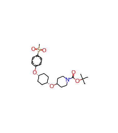 CC(C)(C)OC(=O)N1CCC(O[C@H]2CC[C@@H](Oc3ccc(S(C)(=O)=O)cc3)CC2)CC1